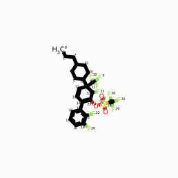 CCCC1CCC(C2(C(F)(F)F)C=CC(c3cccc(F)c3F)=C(OS(=O)(=O)C(F)(F)F)C2F)CC1